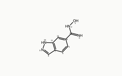 N=C(NO)c1ccc2cn[nH]c2c1